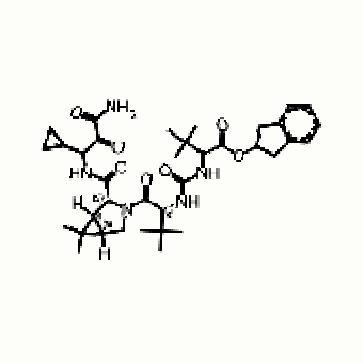 CC(C)(C)C(NC(=O)N[C@@H](C(=O)N1C[C@H]2[C@@H]([C@H]1C(=O)NC(C(=O)C(N)=O)C1CC1)C2(C)C)C(C)(C)C)C(=O)OC1Cc2ccccc2C1